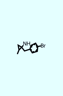 CC1CC1(N)Cc1ccc(Br)cc1